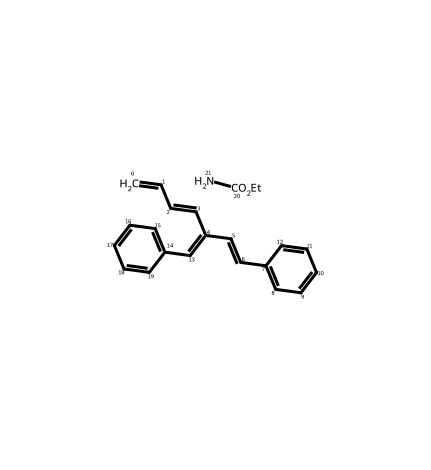 C=CC=CC(C=Cc1ccccc1)=Cc1ccccc1.CCOC(N)=O